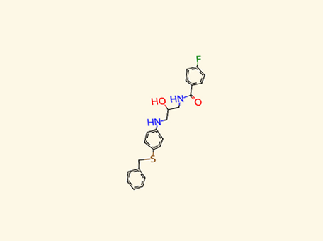 O=C(NCC(O)CNc1ccc(SCc2ccccc2)cc1)c1ccc(F)cc1